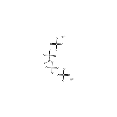 O=S(=O)([O-])[O-].O=S(=O)([O-])[O-].O=S(=O)([O-])[O-].O=S(=O)([O-])[O-].[C+4].[Ni+2].[Pd+2]